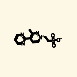 Cc1n[n+](CCS(=O)(=O)[O-])ccc1-c1ncccn1